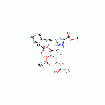 COC(=O)c1nc(C#Cc2ccc(F)cc2)n([C@@H]2O[C@H](COC(C)=O)[C@@H](OC(C)=O)[C@H]2OC(C)=O)n1